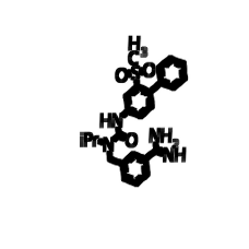 CC(C)N(Cc1cccc(C(=N)N)c1)C(=O)Nc1ccc(-c2ccccc2)c(S(C)(=O)=O)c1